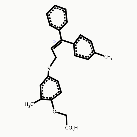 Cc1cc(SC/C=C(/c2ccccc2)c2ccc(C(F)(F)F)cc2)ccc1OCC(=O)O